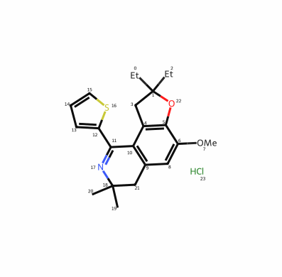 CCC1(CC)Cc2c(c(OC)cc3c2C(c2cccs2)=NC(C)(C)C3)O1.Cl